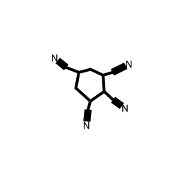 N#CC1CC(C#N)C(C#N)C(C#N)C1